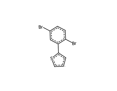 Brc1ccc(Br)c(-c2c[c]cs2)c1